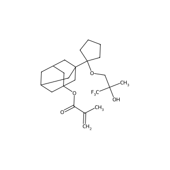 C=C(C)C(=O)OC12CC3CC(C1)CC(C1(OCC(C)(O)C(F)(F)F)CCCC1)(C3)C2